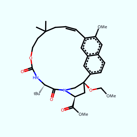 COCO[C@@]12C[C@@H](C(=O)OC)N(C1)C(=O)[C@H](C(C)(C)C)NC(=O)OCCC(C)(C)CC=Cc1cc3cc2ccc3cc1OC